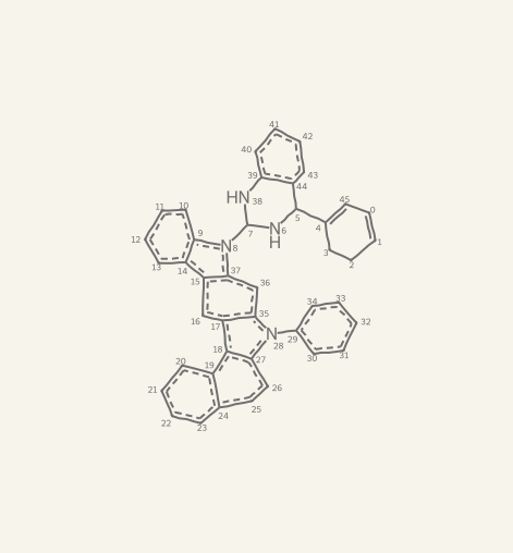 C1=CCCC(C2NC(n3c4ccccc4c4cc5c6c7ccccc7ccc6n(-c6ccccc6)c5cc43)Nc3ccccc32)=C1